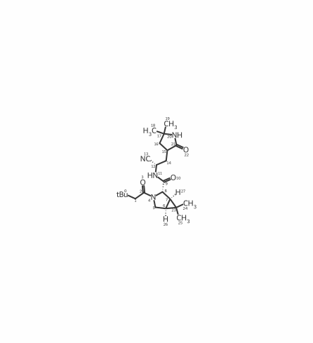 CC(C)(C)CC(=O)N1C[C@H]2[C@@H]([C@H]1C(=O)N[C@H](C#N)CC1CC(C)(C)NC1=O)C2(C)C